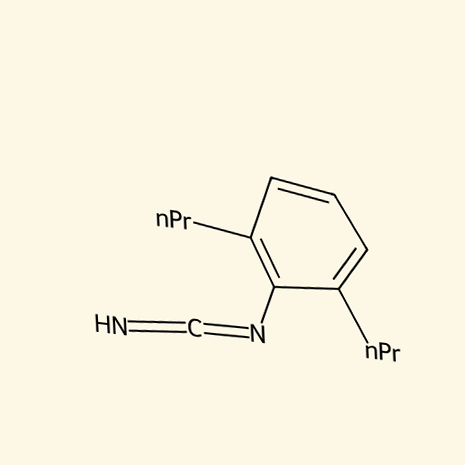 CCCc1cccc(CCC)c1N=C=N